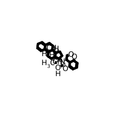 CC[C@@]1(N(C(=O)O)[C@H](C=O)C2C=CC=CC2=O)CC[C@H]2[C@@H]3CCC4=CCC=C[C@]4(C)[C@H]3CC[C@@]21C